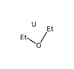 CCOCC.[U]